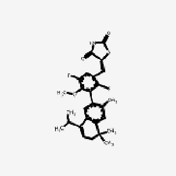 COc1c(F)cc(C=C2SC(=O)NC2=O)c(F)c1-c1cc2c(cc1C)C(C)(C)CC=C2C(C)C